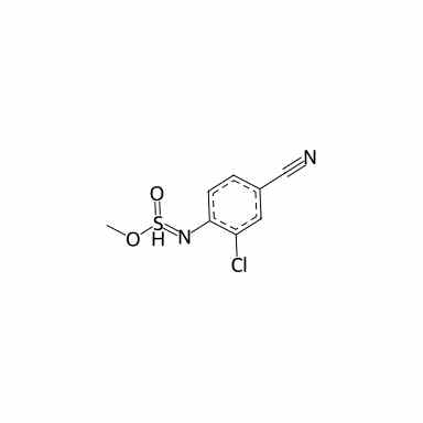 CO[SH](=O)=Nc1ccc(C#N)cc1Cl